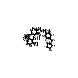 N#Cc1cnc2nc(Nc3ccc(CN4CCCC4)cc3)sc2c1Nc1c(Cl)ccc2c1OCO2